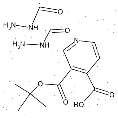 CC(C)(C)OC(=O)c1cnccc1C(=O)O.NNC=O.NNC=O